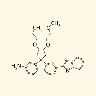 CCCOCCC1(CCOCCOC)c2cc(N)ccc2-c2ccc(-c3nc4ccccc4s3)cc21